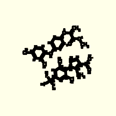 COC(=O)C(C)Oc1ccc(Oc2ccc(Cl)cc2Cl)cc1.Nc1c([N+](=O)[O-])cnn1-c1c(Cl)cc(C(F)(F)F)cc1Cl